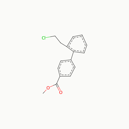 COC(=O)c1ccc(-c2ccccc2CCCl)cc1